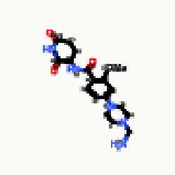 COc1cc(N2CCN(CN)CC2)ccc1C(=O)NC1CCC(=O)NC1=O